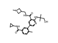 Cc1ccc(C(=O)NC2CC2)cc1-c1cnc(NC(C)(C)CO)c(C(=O)NCC2CN(C)C2)c1